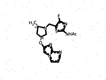 CC(=O)Nc1nc(F)c(CN2C[C@H](Oc3cn4cccnc4n3)C[C@@H]2C)s1